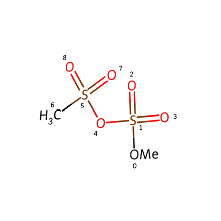 COS(=O)(=O)OS(C)(=O)=O